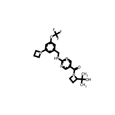 CC(C)(O)C1CCN1C(=O)c1cnc(NCc2cc(OC(F)(F)F)cc(N3CCC3)c2)nc1